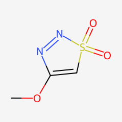 COC1=CS(=O)(=O)N=N1